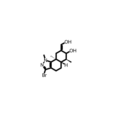 C[C@@H]1C(O)/C(=C\O)C[C@]2(C)c3c(c(Br)nn3C)CC[C@@H]12